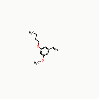 C=[C]c1cc(OC)cc(OCCCC)c1